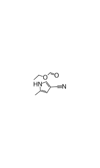 CCOC=O.Cc1cc(C#N)c[nH]1